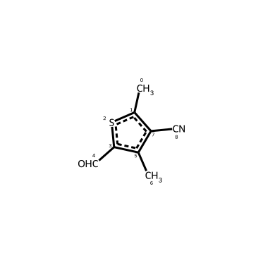 Cc1sc(C=O)c(C)c1C#N